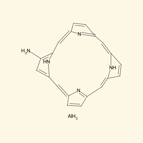 Nc1cc2cc3nc(cc4ccc(cc5nc(cc1[nH]2)C=C5)[nH]4)C=C3.[AlH3]